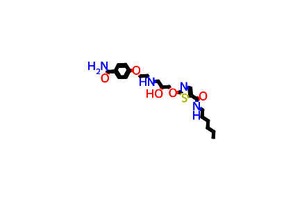 CCCCCCNC(=O)c1cnc(OCC(O)CNCCOc2ccc(C(N)=O)cc2)s1